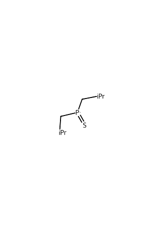 CC(C)C[P](=S)CC(C)C